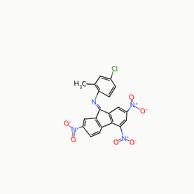 Cc1cc(Cl)ccc1N=C1c2cc([N+](=O)[O-])ccc2-c2c1cc([N+](=O)[O-])cc2[N+](=O)[O-]